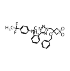 CN(c1ccc(C(C)(F)F)cc1)c1ccccc1-c1nnn(CC2(OCc3ccccc3)CS(=O)(=O)C2)n1